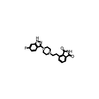 O=C1NC(=O)c2c(CCN3CCN(c4n[nH]c5cc(F)ccc45)CC3)cccc21